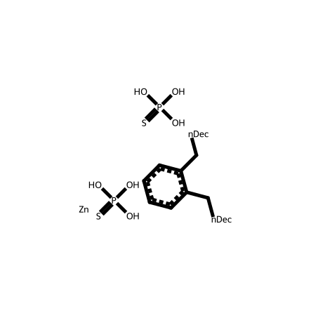 CCCCCCCCCCCc1ccccc1CCCCCCCCCCC.OP(O)(O)=S.OP(O)(O)=S.[Zn]